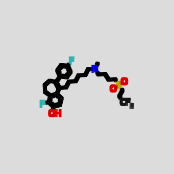 CN(CCCCCCC1=C(c2ccc(F)cc2)CCCc2c1ccc(O)c2F)CCCCS(=O)(=O)CCC(F)(F)F